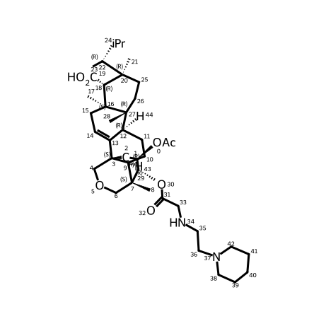 CC(=O)O[C@@H]1C[C@]23COC[C@](C)([C@@H]2CC[C@H]2C3=CC[C@@]3(C)[C@H](C(=O)O)[C@@](C)([C@H](C)C(C)C)CC[C@]23C)[C@H]1OC(=O)CNCCN1CCCCC1